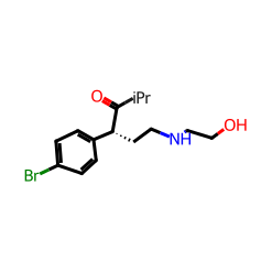 CC(C)C(=O)[C@H](CCNCCO)c1ccc(Br)cc1